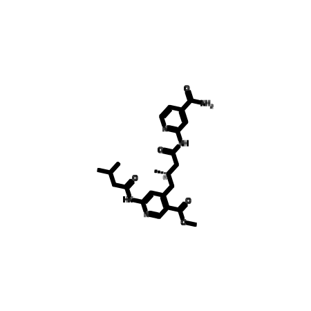 COC(=O)c1cnc(NC(=O)CC(C)C)cc1C[C@H](C)CC(=O)Nc1cc(C(N)=O)ccn1